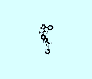 O=C(OC[C@@H]1CCCO1)c1cc2cc(NC(=O)[C@H]3NCC[C@H]3C3CCCCC3)ccc2o1